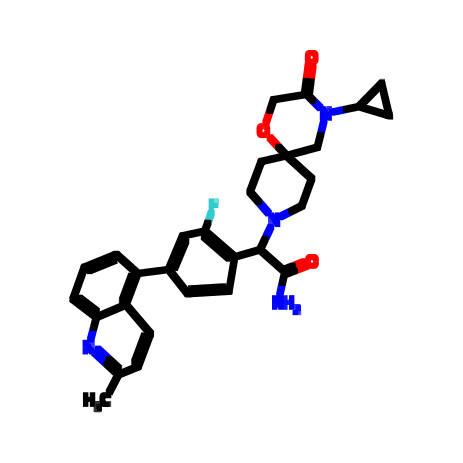 Cc1ccc2c(-c3ccc(C(C(N)=O)N4CCC5(CC4)CN(C4CC4)C(=O)CO5)c(F)c3)cccc2n1